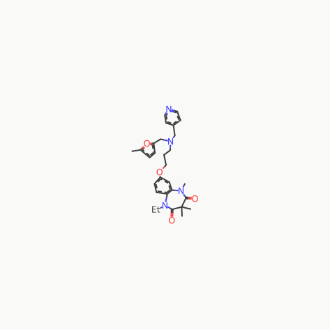 CCN1C(=O)C(C)(C)C(=O)N(C)c2cc(OCCCN(Cc3ccncc3)Cc3ccc(C)o3)ccc21